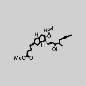 CC#CCC(C)[C@H](O)/C=C/[C@@H]1[C@H]2C/C(=C\CCC(=O)OC)C[C@H]2C[C@H]1OPI